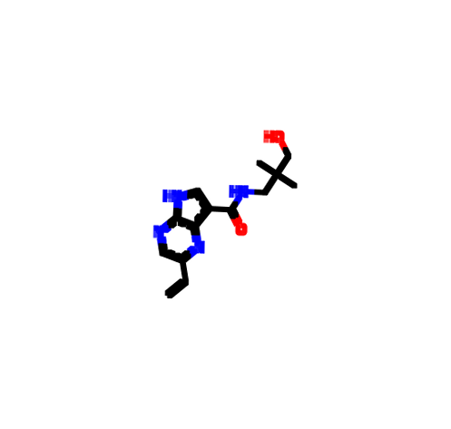 C=Cc1cnc2[nH]cc(C(=O)NCC(C)(C)CO)c2n1